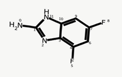 Nc1nc2c(F)cc(F)cc2[nH]1